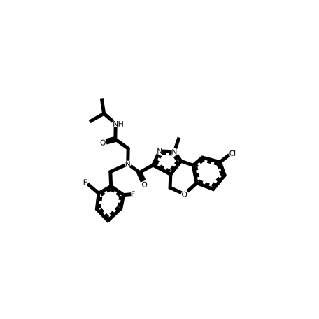 CC(C)NC(=O)CN(Cc1c(F)cccc1F)C(=O)c1nn(C)c2c1COc1ccc(Cl)cc1-2